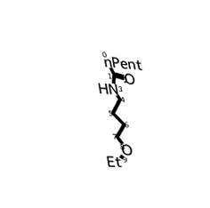 CCCCCC(=O)NCCCCOCC